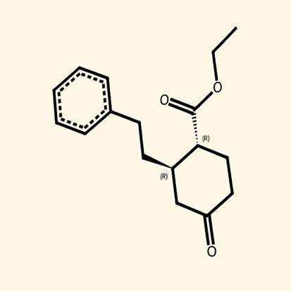 CCOC(=O)[C@@H]1CCC(=O)C[C@H]1CCc1ccccc1